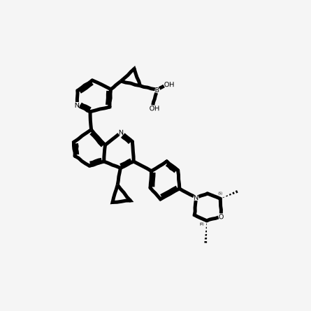 C[C@@H]1CN(c2ccc(-c3cnc4c(-c5cc(C6CC6B(O)O)ccn5)cccc4c3C3CC3)cc2)C[C@H](C)O1